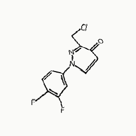 O=c1ccn(-c2ccc(F)c(F)c2)nc1CCl